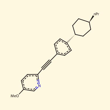 CCC[C@H]1CC[C@H](c2ccc(C#Cc3ccc(OC)cn3)cc2)CC1